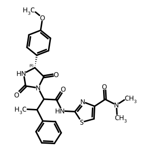 COc1ccc([C@H]2NC(=O)N(C(C(=O)Nc3nc(C(=O)N(C)C)cs3)C(C)c3ccccc3)C2=O)cc1